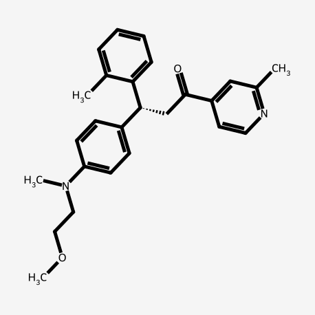 COCCN(C)c1ccc([C@@H](CC(=O)c2ccnc(C)c2)c2ccccc2C)cc1